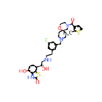 Cc1sccc1C(=O)N1CCOC2(CCN(Cc3cc(F)cc(CCNC[C@H](O)c4ccc(O)c5[nH]c(=O)sc45)c3)CC2)C1